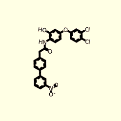 O=C(Cc1ccc(-c2cccc([N+](=O)[O-])c2)cc1)Nc1ccc(Oc2ccc(Cl)c(Cl)c2)cc1O